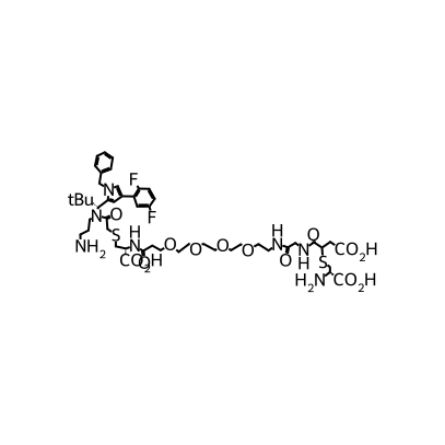 CC(C)(C)[C@H](c1cc(-c2cc(F)ccc2F)cn1Cc1ccccc1)N(CCCN)C(=O)CSC[C@H](NC(=O)CCOCCOCCOCCOCCNC(=O)CNC(=O)C(CC(=O)O)SC[C@H](N)C(=O)O)C(=O)O